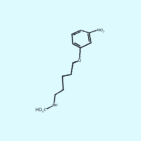 O=C(O)NCCCCCOc1cccc([N+](=O)[O-])c1